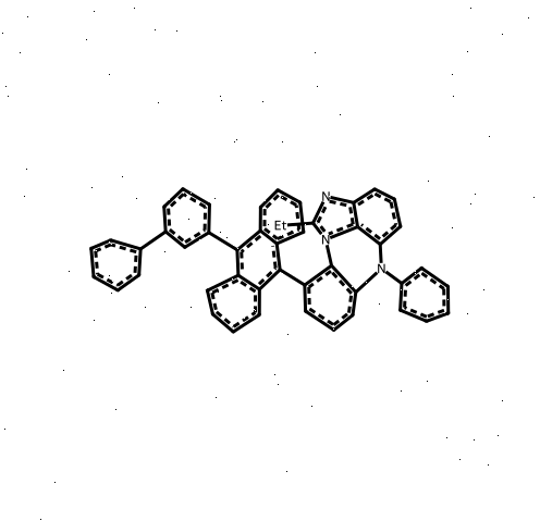 CCc1nc2cccc3c2n1-c1c(-c2c4ccccc4c(-c4cccc(-c5ccccc5)c4)c4ccccc24)cccc1N3c1ccccc1